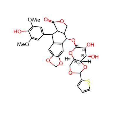 COc1cc(C2c3cc4c(cc3C(O[C@@H]3O[C@@H]5COC(c6cccs6)O[C@H]5[C@H](O)[C@H]3O)C3COC(=O)C23)OCO4)cc(OC)c1O